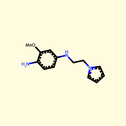 COc1cc(NCCn2cccc2)ccc1N